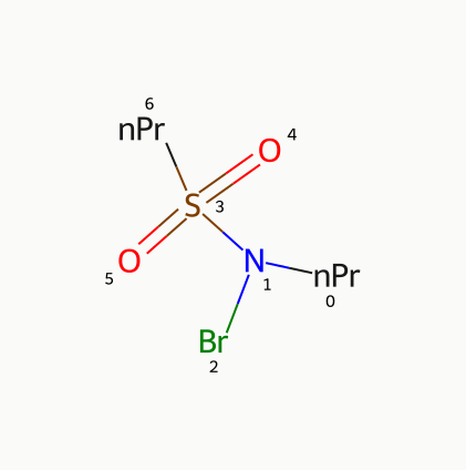 CCCN(Br)S(=O)(=O)CCC